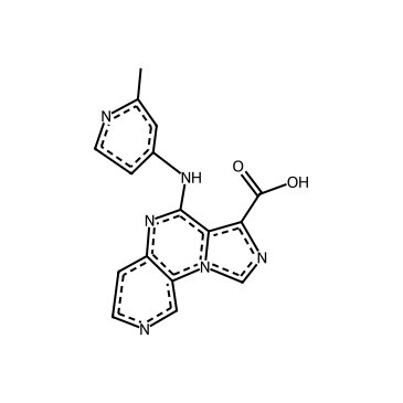 Cc1cc(Nc2nc3ccncc3n3cnc(C(=O)O)c23)ccn1